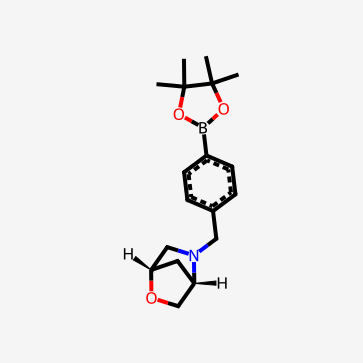 CC1(C)OB(c2ccc(CN3C[C@@H]4C[C@H]3CO4)cc2)OC1(C)C